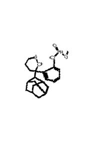 CO[PH](=O)Oc1ccccc1C1(C2C3CC4CC(C3)CC2C4)CCCOO1